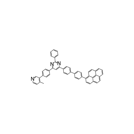 Cc1ccncc1-c1ccc(-c2cc(-c3ccc(-c4ccc(-c5ccc6ccc7cccc8ccc5c6c78)cc4)cc3)nc(-c3ccccc3)n2)cc1